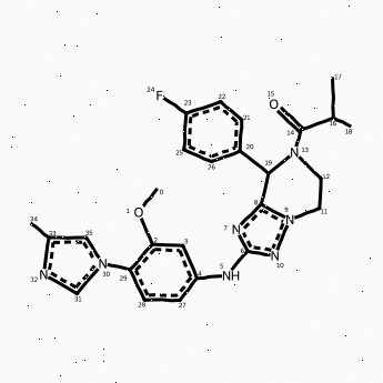 COc1cc(Nc2nc3n(n2)CCN(C(=O)C(C)C)C3c2ccc(F)cc2)ccc1-n1cnc(C)c1